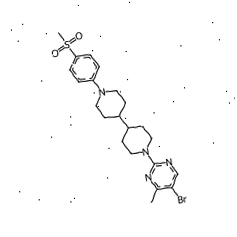 Cc1nc(N2CCC(C3CCN(c4ccc(S(C)(=O)=O)cc4)CC3)CC2)ncc1Br